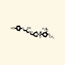 COc1ccc(S(=O)(=O)N2CCC(CNC[C@H](O)COc3ccc(O)cc3)CC2)cc1OC